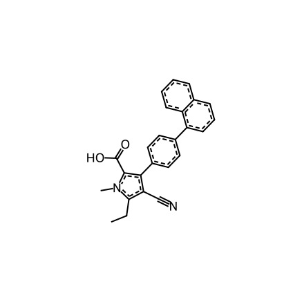 CCc1c(C#N)c(-c2ccc(-c3cccc4ccccc34)cc2)c(C(=O)O)n1C